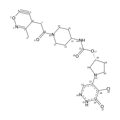 CC1=NOC#CC1CC(=O)N1CCC(NC(=O)O[C@@H]2CCN(c3cn[nH]c(=O)c3Cl)C2)CC1